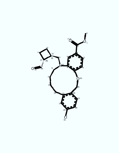 COC(=O)c1ccc2c(c1)N(C[C@@H]1CC[C@H]1C=O)CCCCc1cc(Cl)ccc1CO2